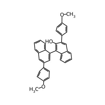 COc1ccc(-c2cc(-c3c(O)c(-c4ccc(OC)cc4)cc4ccccc34)c3ccccc3c2)cc1